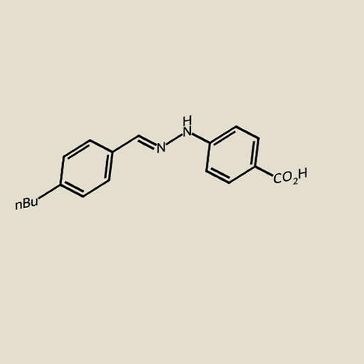 CCCCc1ccc(/C=N/Nc2ccc(C(=O)O)cc2)cc1